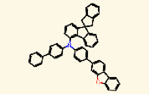 c1ccc(-c2ccc(N(c3ccc(-c4ccc5c(c4)oc4ccccc45)cc3)c3cccc4c3-c3ccccc3C43Cc4ccccc4C3)cc2)cc1